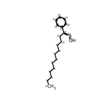 CCCCCCCCCCCCC(=NO)c1ccccc1